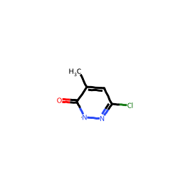 CC1=CC(Cl)=N[N]C1=O